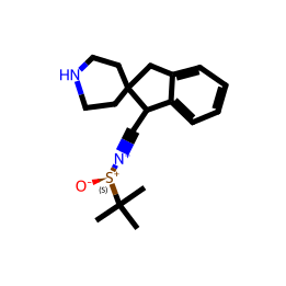 CC(C)(C)[S@@+]([O-])[N+]#CC1c2ccccc2CC12CCNCC2